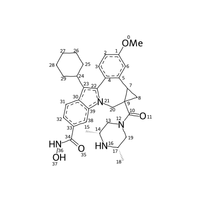 COc1ccc2c(c1)C1CC1(C(=O)N1C[C@@H](C)N[C@@H](C)C1)Cn1c-2c(C2CCCCC2)c2ccc(C(=O)NO)cc21